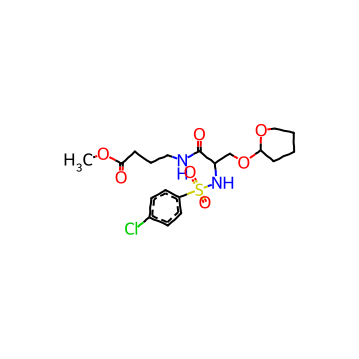 COC(=O)CCCNC(=O)C(COC1CCCCO1)NS(=O)(=O)c1ccc(Cl)cc1